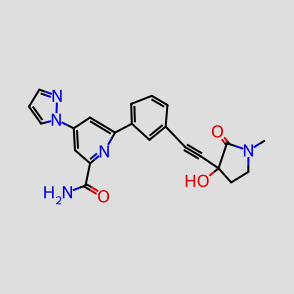 CN1CCC(O)(C#Cc2cccc(-c3cc(-n4cccn4)cc(C(N)=O)n3)c2)C1=O